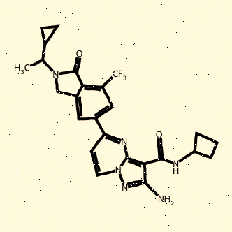 CC(C1CC1)N1Cc2cc(-c3ccn4nc(N)c(C(=O)NC5CCC5)c4n3)cc(C(F)(F)F)c2C1=O